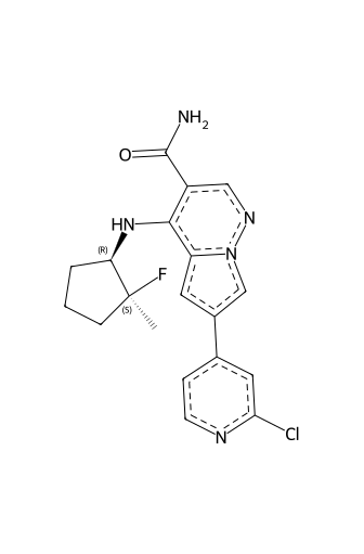 C[C@]1(F)CCC[C@H]1Nc1c(C(N)=O)cnn2cc(-c3ccnc(Cl)c3)cc12